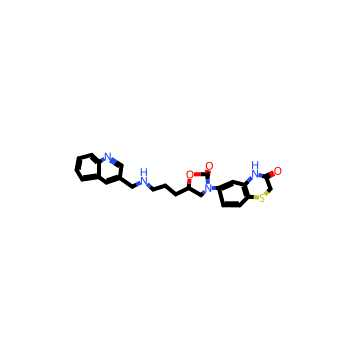 O=C1CSc2ccc(N3CC(CCCNCc4cnc5ccccc5c4)OC3=O)cc2N1